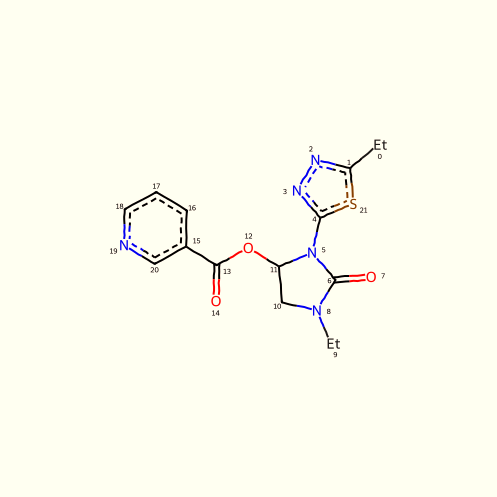 CCc1nnc(N2C(=O)N(CC)CC2OC(=O)c2cccnc2)s1